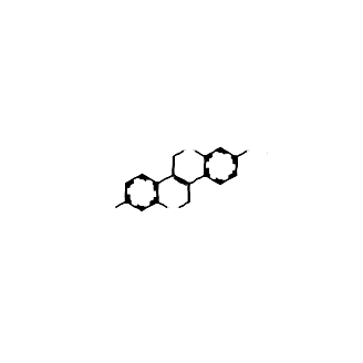 Cc1ccc2c(c1)OCC1=C2COc2cc(C)ccc21